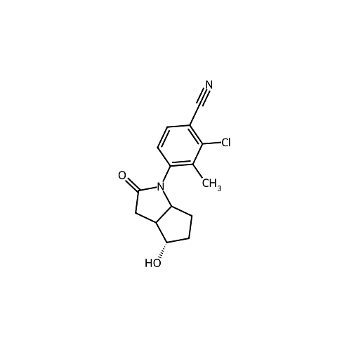 Cc1c(N2C(=O)CC3C2CC[C@@H]3O)ccc(C#N)c1Cl